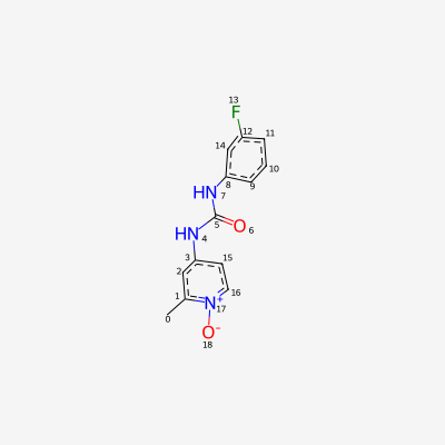 Cc1cc(NC(=O)Nc2cccc(F)c2)cc[n+]1[O-]